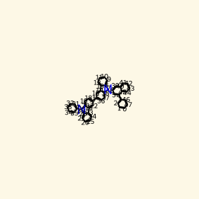 c1ccc(-c2cc(-n3c4ccccc4c4cc(-c5ccc6c(c5)c5ccccc5n6-c5ccccc5)ccc43)cc3ccccc23)cc1